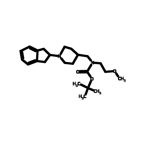 COCCN(CC1CCN(C2Cc3ccccc3C2)CC1)C(=O)OC(C)(C)C